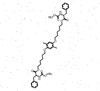 CCCCOC(=O)NC(Cc1ccccc1)C(=O)OCCCCCCOc1cc(I)c(OCCCCCCOC(=O)[C@H](Cc2ccccc2)NC(=O)OC(C)(C)C)cc1I